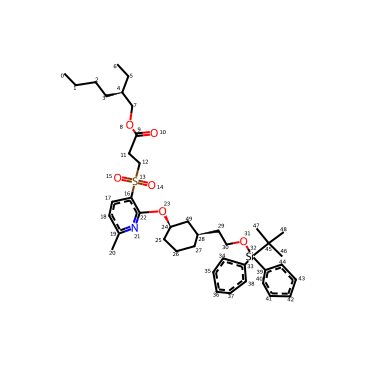 CCCC[C@@H](CC)COC(=O)CCS(=O)(=O)c1ccc(C)nc1O[C@@H]1CCC[C@H](CCO[Si](c2ccccc2)(c2ccccc2)C(C)(C)C)C1